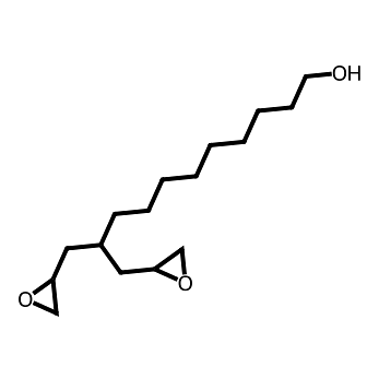 OCCCCCCCCCC(CC1CO1)CC1CO1